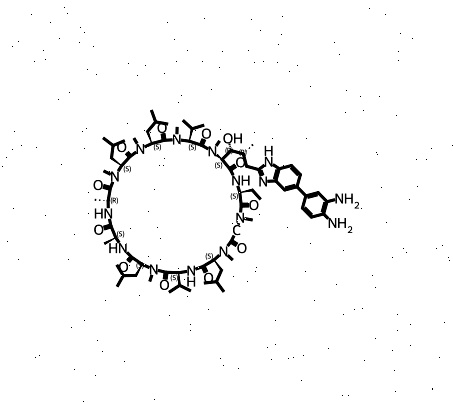 CC[C@@H]1NC(=O)[C@H]([C@H](O)[C@H](C)Cc2nc3cc(-c4ccc(N)c(N)c4)ccc3[nH]2)N(C)C(=O)[C@H](C(C)C)N(C)C(=O)[C@H](CC(C)C)N(C)C(=O)[C@H](CC(C)C)N(C)C(=O)[C@@H](C)NC(=O)[C@H](C)NC(=O)[C@H](CC(C)C)N(C)C(=O)[C@H](C(C)C)NC(=O)[C@H](CC(C)C)N(C)C(=O)CN(C)C1=O